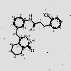 O=C(CCc1ccccc1Cl)Nc1cccc(Cc2n[nH]c(=O)c3c2CCCC3)c1